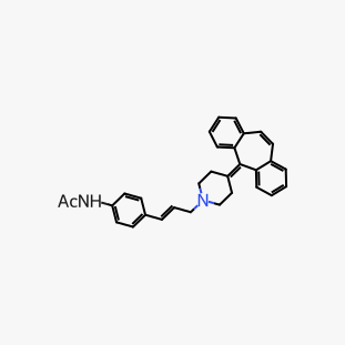 CC(=O)Nc1ccc(C=CCN2CCC(=C3c4ccccc4C=Cc4ccccc43)CC2)cc1